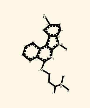 CC(CCOc1nc2c(c3ccccc13)c1cc(Cl)ccc1n2C)N(C)C